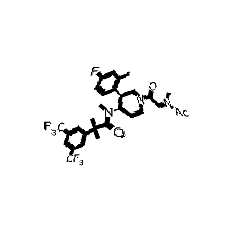 CC(=O)N(C)CC(=O)N1CC[C@H](N(C)C(=O)C(C)(C)c2cc(C(F)(F)F)cc(C(F)(F)F)c2)[C@@H](c2ccc(F)cc2C)C1